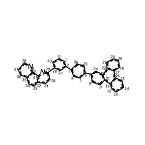 c1cc(-c2ccc(-c3ccc4c5ccccc5c5ccccc5c4c3)cc2)cc(-c2ccc3ccc4cccnc4c3n2)c1